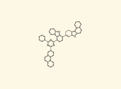 C1=C(c2ccc(-c3nc(-c4ccccc4)nc(-c4ccc5c(ccc6ccccc65)c4)n3)c3c2oc2ccccc23)CCc2c1oc1ccc3ccccc3c21